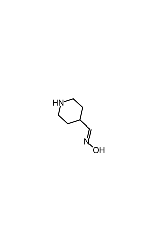 ON=CC1CCNCC1